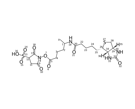 CC(CCCC(=O)ON1C(=O)CC(S(=O)(=O)O)C1=O)NC(=O)CCCC[C@@H]1SC[C@@H]2NC(=O)N[C@@H]21